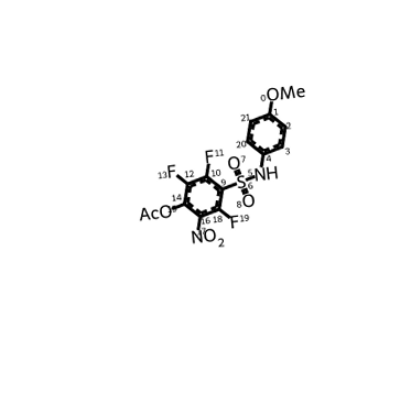 COc1ccc(NS(=O)(=O)c2c(F)c(F)c(OC(C)=O)c([N+](=O)[O-])c2F)cc1